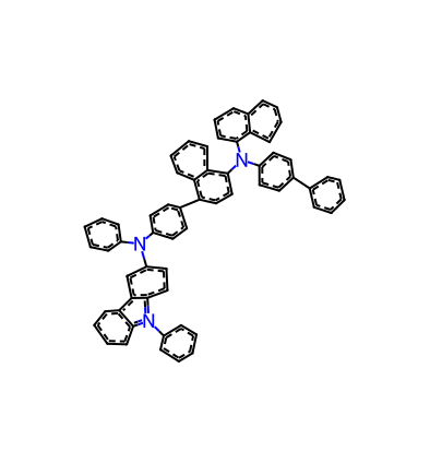 c1ccc(-c2ccc(N(c3cccc4ccccc34)c3ccc(-c4ccc(N(c5ccccc5)c5ccc6c(c5)c5ccccc5n6-c5ccccc5)cc4)c4ccccc34)cc2)cc1